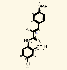 COc1ccc(/C=C(\C)C(=O)Nc2ccc(Cl)cc2C(=O)O)cc1